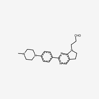 CN1CCN(c2ccc(-c3ncc4c(n3)N(CCC=O)CC4)cc2)CC1